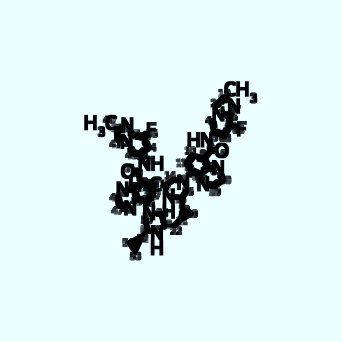 Cc1cn2cc(NC(=O)c3ccc(N4CC(C)NC(C5CC5C[C@@H]5CN(c6ccc(C(=O)Nc7cc(F)c8nc(C)cn8c7)c7nccnc67)C[C@H](C6CC6)N5)C4)c4nccnc34)cc(F)c2n1